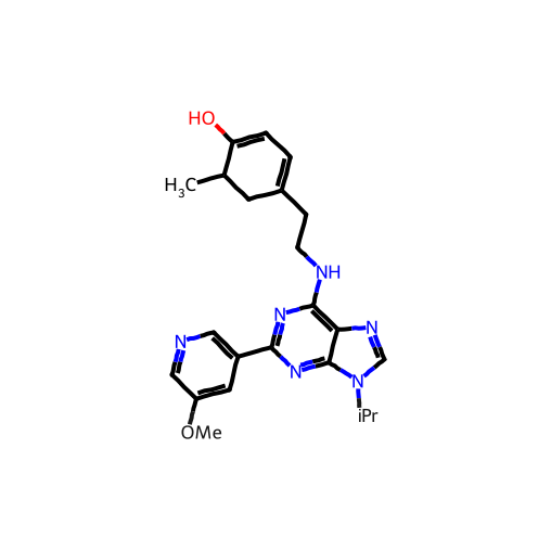 COc1cncc(-c2nc(NCCC3=CC=C(O)C(C)C3)c3ncn(C(C)C)c3n2)c1